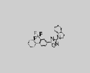 FC(F)(F)c1cc(-c2nc(N3CCc4ccccc43)no2)ccc1C1CCCCC1